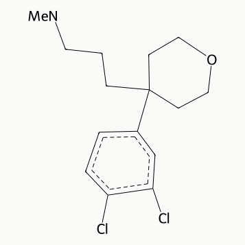 CNCCCC1(c2ccc(Cl)c(Cl)c2)CCOCC1